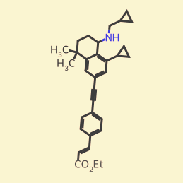 CCOC(=O)/C=C/c1ccc(C#Cc2cc(C3CC3)c3c(c2)C(C)(C)CCC3NCC2CC2)cc1